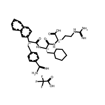 N=C(N)NCCC[C@H](NC(=O)[C@H](CC1CCCCC1)NC(=O)[C@H](Cc1ccc(C(=N)N)cc1)c1ccc2ccccc2c1)C(=O)O.O=C(O)C(F)(F)F